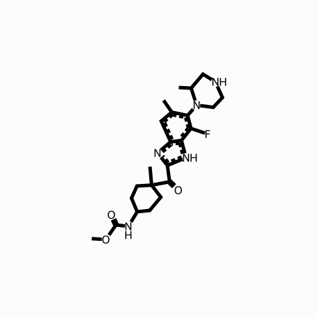 COC(=O)NC1CCC(C)(C(=O)c2nc3cc(C)c(N4CCNCC4C)c(F)c3[nH]2)CC1